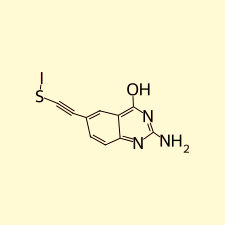 Nc1nc(O)c2cc(C#CSI)ccc2n1